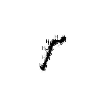 COc1cc2c(cc1OCCCC(=O)Nc1cc(C(=O)Nc3ccc(-c4cc(C(=O)NCCCOC(=O)NCCCNC(=O)CCOCCOCCNC(=O)CCN5C(=O)C=CC5=O)n(C)c4)cc3)n(C)c1)N=C[C@@H]1CCCN1C2=O